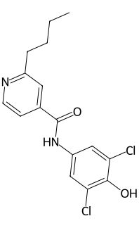 CCCCc1cc(C(=O)Nc2cc(Cl)c(O)c(Cl)c2)ccn1